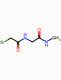 O=C(CNC(=O)CBr)N[SiH3]